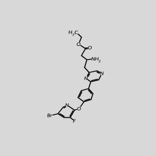 CCOC(=O)CC(N)Cc1cncc(-c2ccc(Oc3ncc(Br)cc3F)cc2)n1